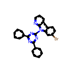 Brc1ccc2c3cccnc3n(-c3nc(-c4ccccc4)nc(-c4ccccc4)n3)c2c1